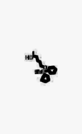 C[C@H](O)CCCCO[Si](c1ccccc1)(c1ccccc1)C(C)(C)C